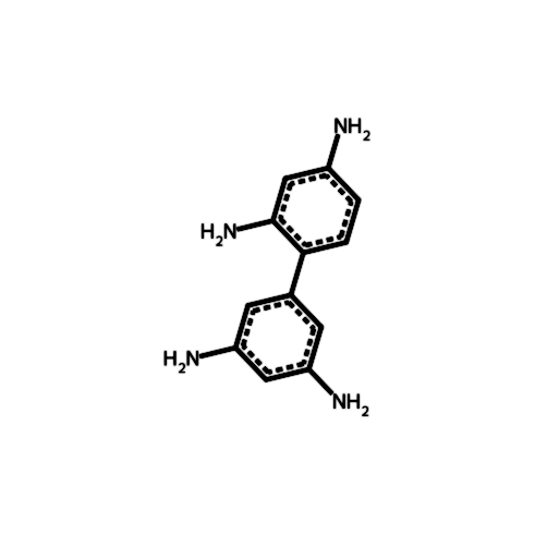 Nc1cc(N)cc(-c2ccc(N)cc2N)c1